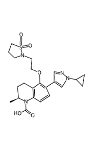 C[C@H]1CCc2c(ccc(-c3cnn(C4CC4)c3)c2OCCN2CCCS2(=O)=O)N1C(=O)O